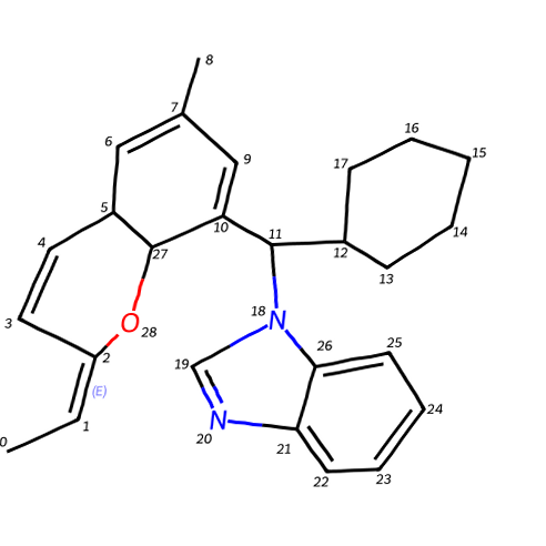 C/C=C1\C=CC2C=C(C)C=C(C(C3CCCCC3)n3cnc4ccccc43)C2O1